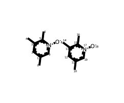 Cc1cc(C)c(C)[n+]([O-])c1.Cc1cc(C)c(C)[n+]([O-])c1